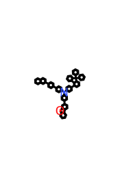 c1ccc(C2(c3ccccc3)c3ccccc3-c3c(-c4ccc(N(c5ccc(-c6ccc(-c7ccc8ccccc8c7)cc6)cc5)c5ccc(-c6ccc7c(c6)oc6ccccc67)cc5)cc4)cccc32)cc1